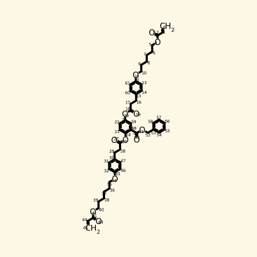 C=CC(=O)OCCCCCCOc1ccc(CCC(=O)Oc2ccc(OC(=O)CCc3ccc(OCCCCCCOC(=O)C=C)cc3)c(C(=O)OCc3ccccc3)c2)cc1